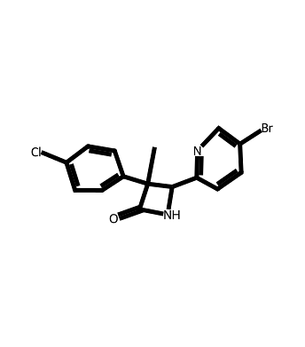 CC1(c2ccc(Cl)cc2)C(=O)NC1c1ccc(Br)cn1